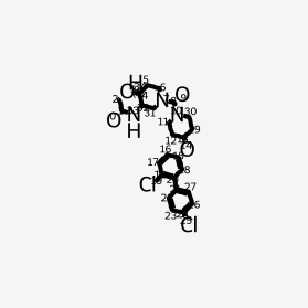 O=C1CO[C@H]2CCN(C(=O)N3CCC(Oc4ccc(Cl)c(-c5ccc(Cl)cc5)c4)CC3)CC2N1